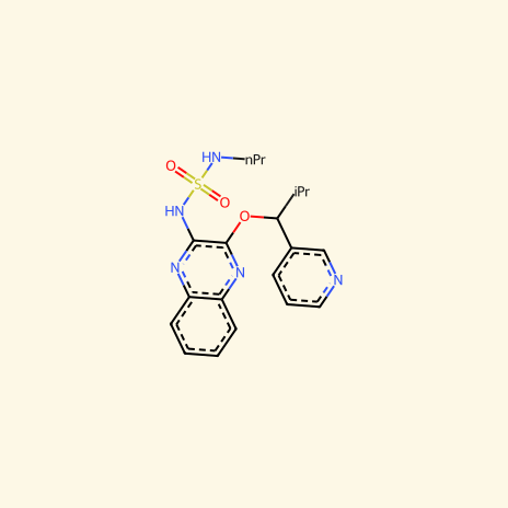 CCCNS(=O)(=O)Nc1nc2ccccc2nc1OC(c1cccnc1)C(C)C